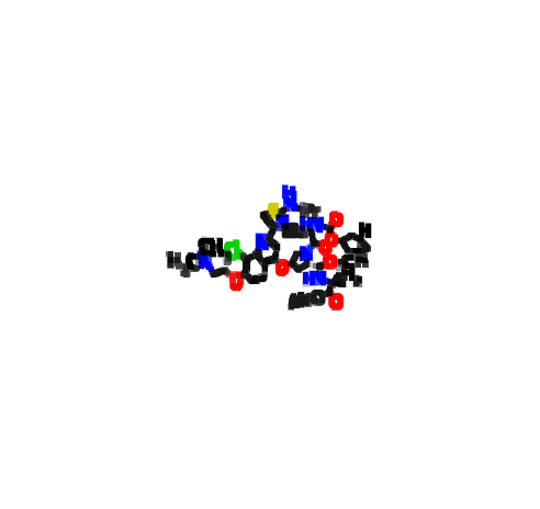 C=C[C@@H]1CC1(NC(=O)[C@@H]1C[C@@H](Oc2cc(-c3csc(NC(C)C)n3)nc3c(Cl)c(OCCN(C)C)ccc23)CN1C(=O)[C@@H](NC(=O)O[C@@H]1C[C@@H]2C[C@@H]2C1)C(C)(C)C)C(=O)OC